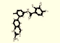 Cc1ccc(NC(=O)c2ccc(F)c(Cl)c2F)cc1-c1ccc2nc(N)ncc2c1